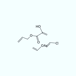 C=CCOC(=O)C(=C)O.C=CCl.C=COC(C)=O